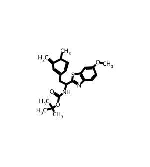 C=C1C=C(CC(NC(=O)OC(C)(C)C)c2nc3ccc(OC)cc3s2)C=CC1C